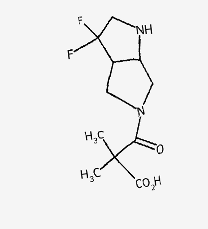 CC(C)(C(=O)O)C(=O)N1CC2NCC(F)(F)C2C1